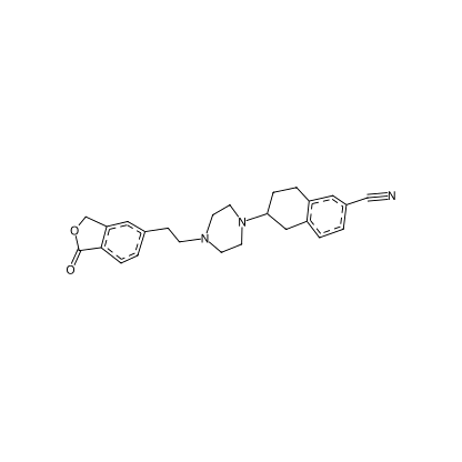 N#Cc1ccc2c(c1)CCC(N1CCN(CCc3ccc4c(c3)COC4=O)CC1)C2